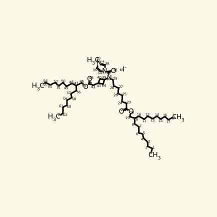 CCCCCCCCCC(CCCCCCCCC)COC(=O)CCCCCCCN(C(=O)n1cc[n+](C)c1)C1CC(CC(=O)OCC(CCCCCCCC)CCCCCCCC)C1.[I-]